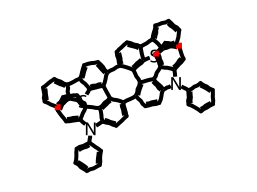 c1ccc(-n2c3ccccc3c3c4c(ccc32)-c2ccc3c(c2-c2c(ccc5c2sc2ccccc25)-c2ccc5c(sc6ccccc65)c2-4)c2ccccc2n3-c2ccccc2)cc1